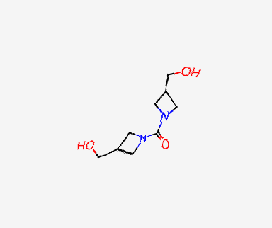 O=C(N1CC(CO)C1)N1CC(CO)C1